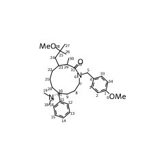 COc1ccc(CN2CCC[C@](c3ccccc3)(N(C)C)CCCC(CC(C)(C)OC)C(C)C2=O)cc1